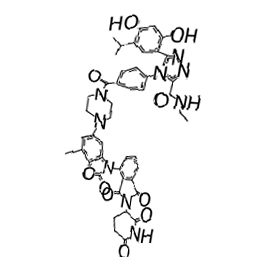 CCNC(=O)c1nnc(-c2cc(C(C)C)c(O)cc2O)n1-c1ccc(C(=O)N2CCN(c3cc(C)c4oc(=O)n(-c5cccc6c5C(=O)N(C5CCC(=O)NC5=O)C6=O)c4c3)CC2)cc1